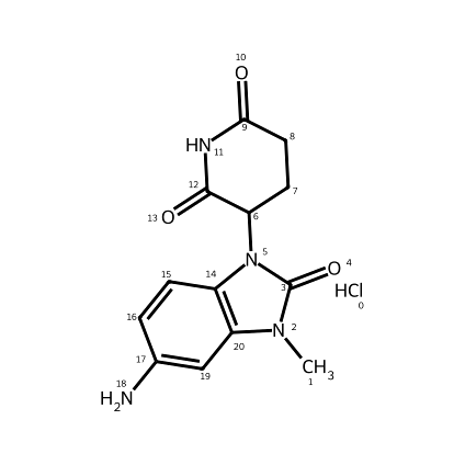 Cl.Cn1c(=O)n(C2CCC(=O)NC2=O)c2ccc(N)cc21